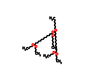 CCCCCCCOC(C=CCCCCCCCCCC(OCCCC)OCCCC)OC(C=CCCCCCCCCCC(OCCCC)OCCCC)OCCCCCCC